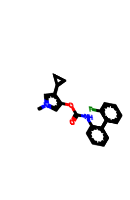 Cn1cc(OC(=O)Nc2ccccc2-c2ccccc2F)c(C2CC2)c1